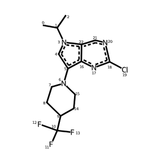 CC(C)n1cc(N2CCC(C(F)(F)F)CC2)c2nc(Cl)ncc21